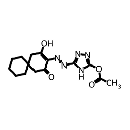 CC(=O)Oc1nnc(N=NC2=C(O)CC3(CCCCC3)CC2=O)[nH]1